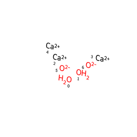 O.O.[Ca+2].[Ca+2].[Ca+2].[O-2].[O-2]